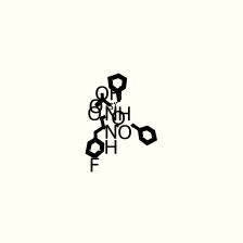 O=C(NC(Cc1ccc(F)cc1)C(=O)N[C@@H](Cc1ccccc1)C(=O)O)OCc1ccccc1